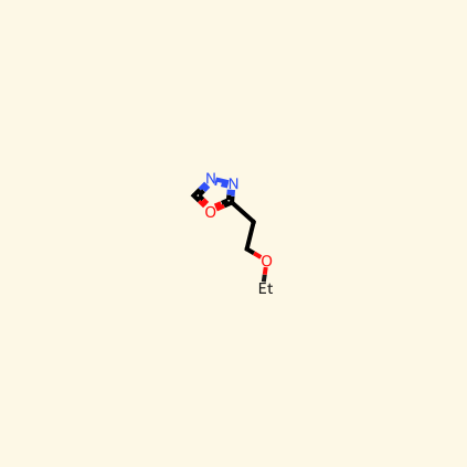 CCOCCc1nnco1